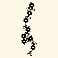 CC(=O)COc1ccc(C(=O)COc2ccc(OCC(=O)c3cccc(C(=O)COc4ccc(NC(=O)c5ccc(N6C(=O)C7CC=CCC7C6=O)cc5)cc4)c3)c(P3(=O)Oc4ccccc4-c4ccccc43)c2)cc1